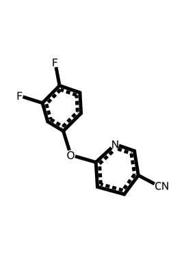 N#Cc1ccc(Oc2ccc(F)c(F)c2)nc1